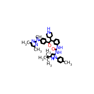 Cc1ccc(-n2nc(C(C)(C)C)cc2NC(=O)Nc2cccc(C(C(=O)c3ccc(N(C)c4nc(C)cc(C)n4)cc3)C3CCNCC3)c2)cc1